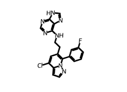 Fc1cccc(-c2c(CCNc3ncnc4[nH]cnc34)cc(Cl)c3ccnn23)c1